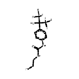 O=C(NCCCl)Nc1ccc(C(O)(C(F)(F)F)C(F)(F)F)cc1